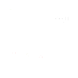 CS(=O)(=O)c1cc(F)cc(C(=O)O)c1